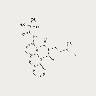 CN(C)CCN1C(=O)c2c(NC(=O)C(C)(C)C)ccc3cc4ccccc4c(c23)C1=O